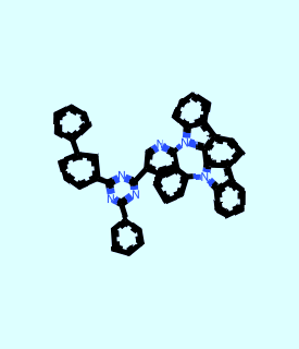 c1ccc(-c2cccc(-c3nc(-c4ccccc4)nc(-c4ccc(-n5c6ccccc6c6ccc7c8ccccc8n(-c8ccccc8)c7c65)nc4)n3)c2)cc1